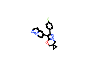 Fc1ccc(-c2nn3c(c2-c2ccn4nccc4c2)OCC2(CC2)C3)cc1